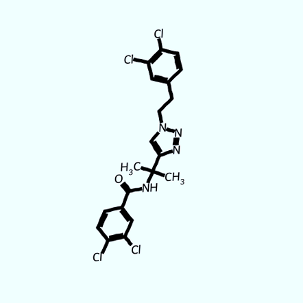 CC(C)(NC(=O)c1ccc(Cl)c(Cl)c1)c1cn(CCc2ccc(Cl)c(Cl)c2)nn1